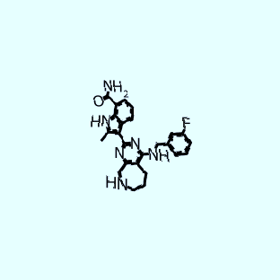 Cc1[nH]c2c(C(N)=O)cccc2c1-c1nc2c(c(NCc3cccc(F)c3)n1)CCCNC2